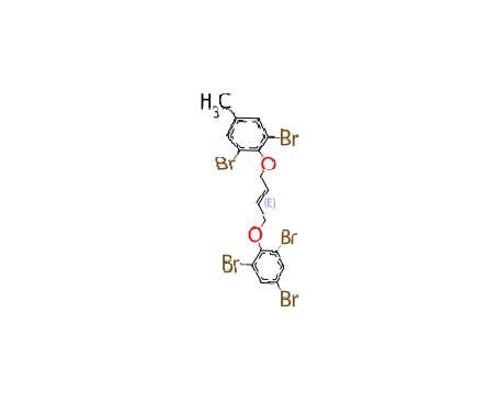 Cc1cc(Br)c(OC/C=C/COc2c(Br)cc(Br)cc2Br)c(Br)c1